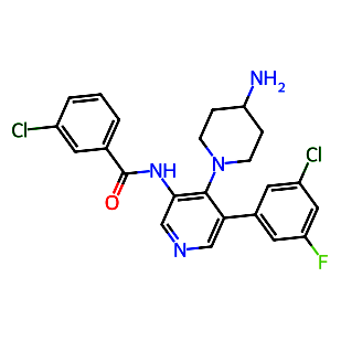 NC1CCN(c2c(NC(=O)c3cccc(Cl)c3)cncc2-c2cc(F)cc(Cl)c2)CC1